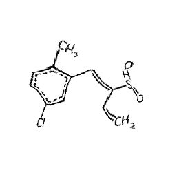 C=C/C(=C\c1cc(Cl)ccc1C)[SH](=O)=O